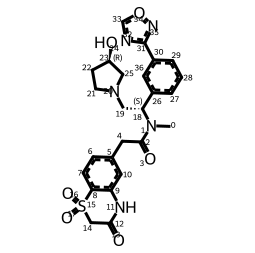 CN(C(=O)Cc1ccc2c(c1)NC(=O)CS2(=O)=O)[C@H](CN1CC[C@@H](O)C1)c1cccc(-c2ncon2)c1